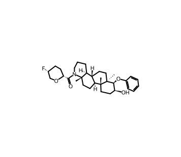 C[C@]12CC[C@H]3[C@@H](CC[C@@]4(C)[C@@H](Oc5ccccc5)[C@@H](O)CC[C@]34C)[C@@H]1CCCN2C(=O)[C@H]1CC[C@@H](F)CO1